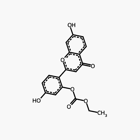 CCOC(=O)Oc1cc(O)ccc1-c1cc(=O)c2ccc(O)cc2o1